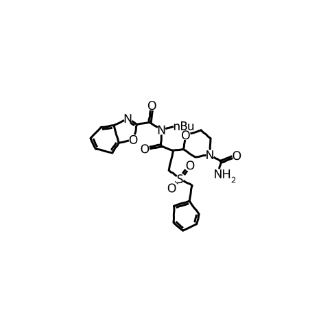 CCCCN(C(=O)c1nc2ccccc2o1)C(=O)C(CS(=O)(=O)Cc1ccccc1)C1CN(C(N)=O)CCO1